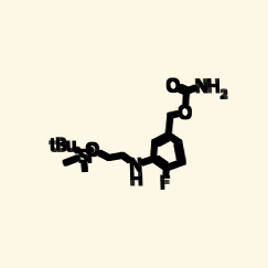 CC(C)(C)[Si](C)(C)OCCNc1cc(COC(N)=O)ccc1F